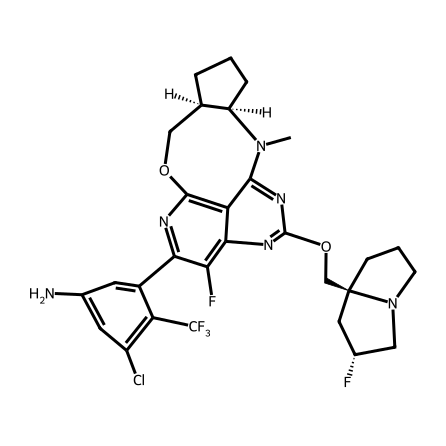 CN1c2nc(OC[C@@]34CCCN3C[C@H](F)C4)nc3c(F)c(-c4cc(N)cc(Cl)c4C(F)(F)F)nc(c23)OC[C@H]2CCC[C@H]21